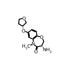 CN1C(=O)[C@@H](N)COc2ccc(O[C@@H]3CCOC3)cc21